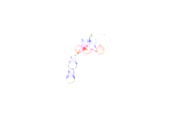 CC/C(=N/C(=O)OCCN1CCC(N2CCCCC2)CC1)N1CCOCC1